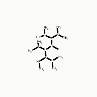 CP(P(P(P)P)P(P)P)P(P(P)P)P(PP)P(P)P